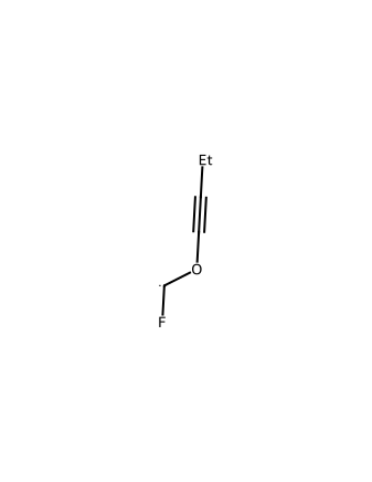 CCC#CO[CH]F